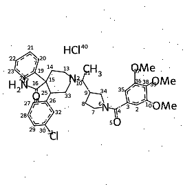 COc1cc(C(=O)N2CCC(C(C)N3CCC(C(N)=O)(c4ccccc4)C(c4cccc(Cl)c4)C3)C2)cc(OC)c1OC.Cl